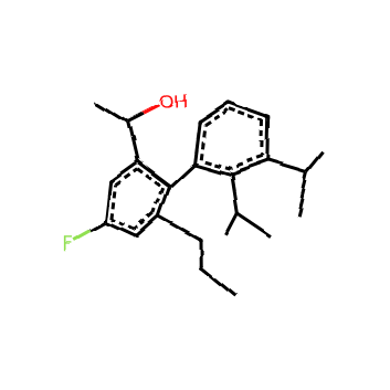 CCCc1cc(F)cc(C(C)O)c1-c1cccc(C(C)C)c1C(C)C